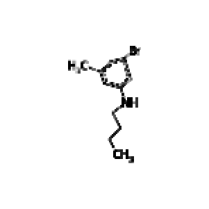 CCCCNc1cc(C)cc(Br)c1